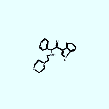 O=C(c1c[nH]c2ccccc12)[C@H](NCCN1CCOCC1)c1ccccc1